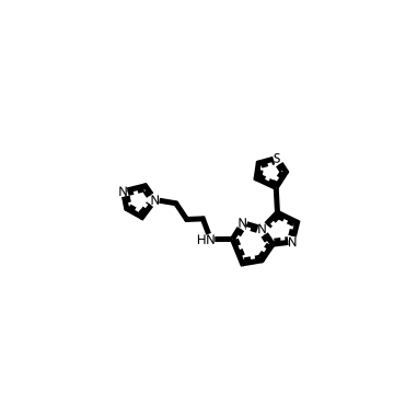 c1cn(CCCNc2ccc3ncc(-c4ccsc4)n3n2)cn1